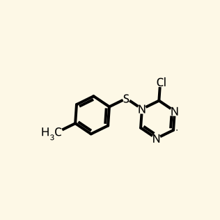 Cc1ccc(SN2C=N[C]=NC2Cl)cc1